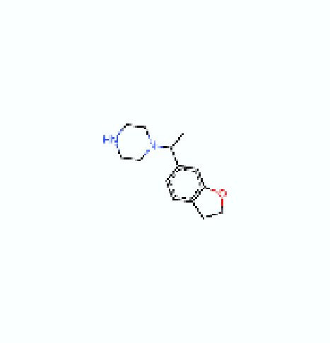 CC(c1ccc2c(c1)OCC2)N1CCNCC1